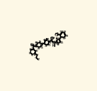 CCCC1CCC[C@@H](C(=O)N2CCN(c3ccc(C(=O)Nc4nc(-c5ccccc5Cl)cs4)nc3)CC2)C1